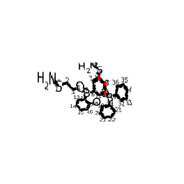 NSCCOB(c1ccccc1)c1ccccc1Oc1ccccc1B(OCCSN)c1ccccc1